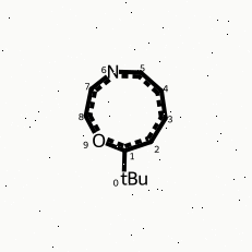 CC(C)(C)c1ccccncco1